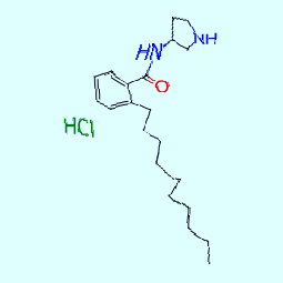 CCCCCCCCCCc1ccccc1C(=O)N[C@H]1CCNC1.Cl